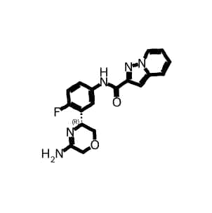 NC1=N[C@H](c2cc(NC(=O)c3cc4ccccn4n3)ccc2F)COC1